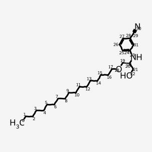 CCCCCCCCCCCCCCCCCCOC[C@H](CO)Nc1cccc(C#N)c1